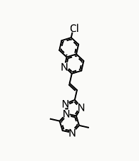 Cc1ncc(C)n2nc(/C=C/c3ccc4cc(Cl)ccc4n3)nc12